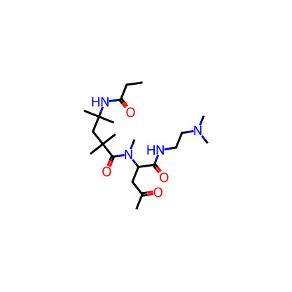 CCC(=O)NC(C)(C)CC(C)(C)C(=O)N(C)C(CC(C)=O)C(=O)NCCN(C)C